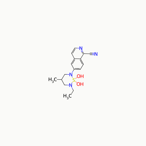 CCN1CC(C)CN(c2ccc3c(C#N)nccc3c2)S1(O)O